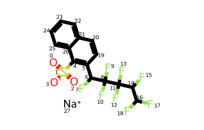 O=S(=O)([O-])c1c(C(F)C(F)(F)C(F)(F)C(F)C(F)F)ccc2ccccc12.[Na+]